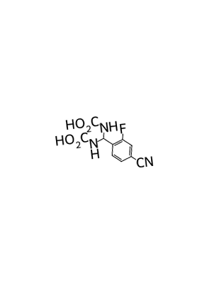 N#Cc1ccc(C(NC(=O)O)NC(=O)O)c(F)c1